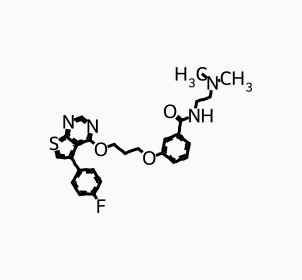 CN(C)CCNC(=O)c1cccc(OCCCOc2ncnc3scc(-c4ccc(F)cc4)c23)c1